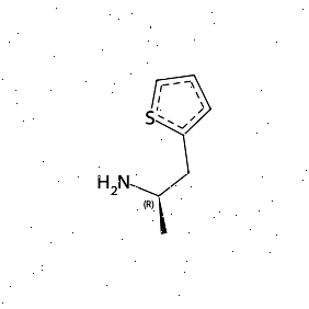 C[C@@H](N)Cc1cccs1